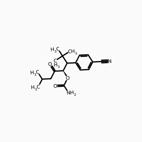 CC(C)CC(=O)[C@H](OC(N)=O)C(c1ccc(C#N)cc1)C(C)(C)C